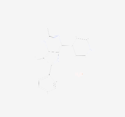 Cc1nc(C2CCNCC2)c2nc(-c3ccccc3)c(C)c-2[nH]1.Cl.O